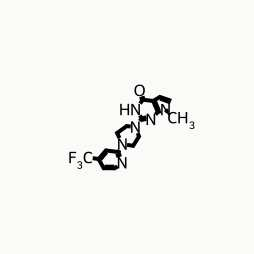 Cn1ccc2c(=O)[nH]c(N3CCN(c4cc(C(F)(F)F)ccn4)CC3)nc21